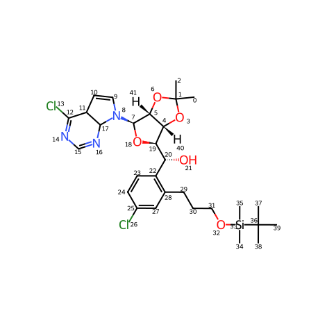 CC1(C)O[C@H]2[C@@H](O1)[C@H](N1C=CC3C(Cl)=NC=NC31)O[C@@H]2[C@H](O)c1ccc(Cl)cc1CCCO[Si](C)(C)C(C)(C)C